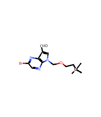 C[Si](C)(C)CCOCn1cc(C=O)c2nc(Br)cnc21